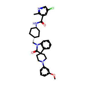 COc1cccc(N2CCC3(CC2)C(=O)N(C[C@H]2CC[C@H](NC(=O)c4cc(Cl)cnc4C)CC2)c2ccccc23)c1